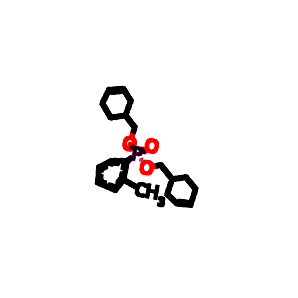 Cc1ccccc1P(=O)(OCC1CC=CCC1)OCC1CC=CCC1